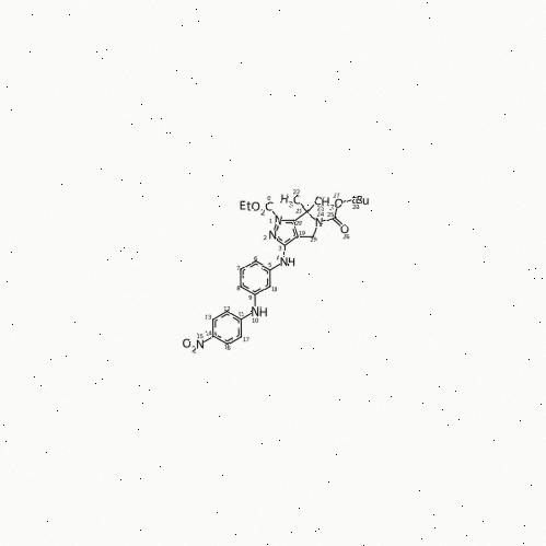 CCOC(=O)n1nc(Nc2cccc(Nc3ccc([N+](=O)[O-])cc3)c2)c2c1C(C)(C)N(C(=O)OC(C)(C)C)C2